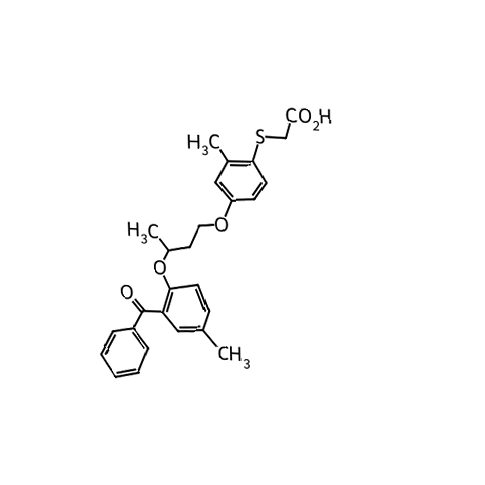 Cc1ccc(OC(C)CCOc2ccc(SCC(=O)O)c(C)c2)c(C(=O)c2ccccc2)c1